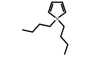 CCCC[Si]1(CCCC)C=CC=C1